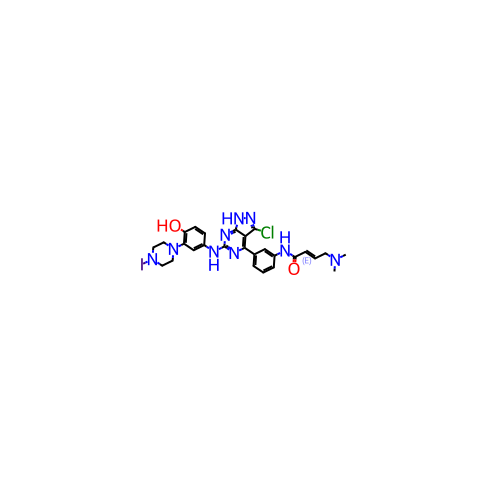 CN(C)C/C=C/C(=O)Nc1cccc(-c2nc(Nc3ccc(O)c(N4CCN(I)CC4)c3)nc3[nH]nc(Cl)c23)c1